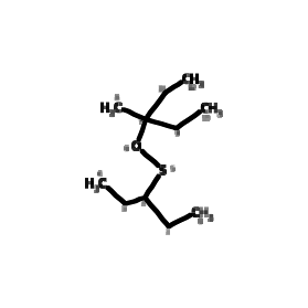 CCC(CC)SOC(C)(CC)CC